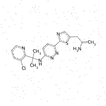 C=C(N)Cc1cnc(-c2ccc(NC(C)(C)c3ncccc3Cl)nn2)s1